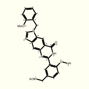 CCCOc1ccc(CNC(C)=O)cc1-c1nc2cc3ncn(Cc4ccccc4OC)c3cc2c(=O)[nH]1